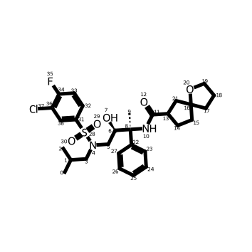 CC(C)CN(C[C@@H](O)[C@@](C)(NC(=O)C1CCC2(CCCO2)C1)c1ccccc1)S(=O)(=O)c1ccc(F)c(Cl)c1